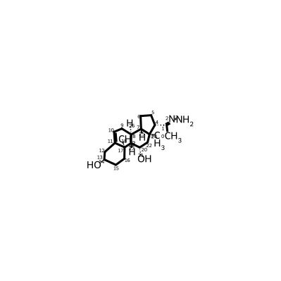 C/C(=N\N)[C@H]1CC[C@H]2[C@@H]3CC=C4C[C@@H](O)CC[C@]4(C)[C@H]3[C@@H](O)C[C@]12C